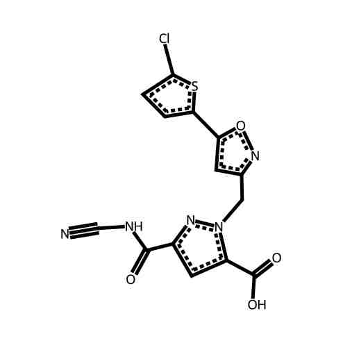 N#CNC(=O)c1cc(C(=O)O)n(Cc2cc(-c3ccc(Cl)s3)on2)n1